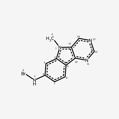 Cn1c2cc(NBr)ccc2c2ncncc21